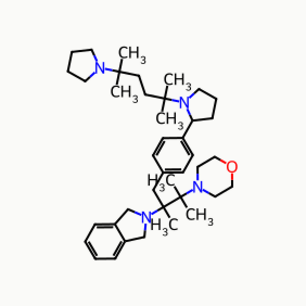 CC(C)(CCC(C)(C)N1CCCC1c1ccc(CC(C)(N2Cc3ccccc3C2)C(C)(C)N2CCOCC2)cc1)N1CCCC1